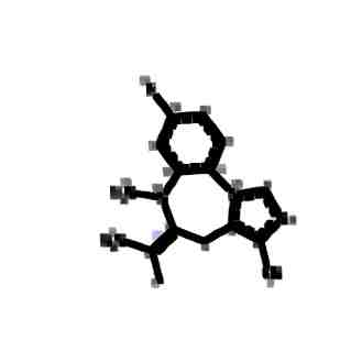 C/C(N)=C1\Cc2c(C#N)ncn2-c2ccc(F)cc2N1N